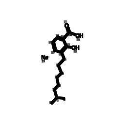 CC(C)CCCCCCc1cccc(C(=O)O)c1O.[Na]